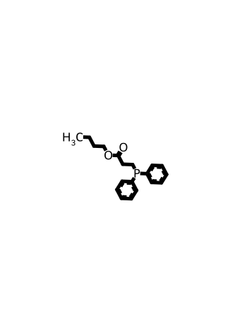 CCCCOC(=O)CCP(c1ccccc1)c1ccccc1